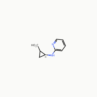 O=C(O)C1C[C@@H]1Nc1ccccn1